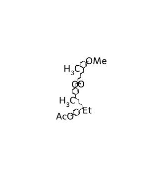 CCC(CCCC(C)c1ccc(OC(=O)/C=C/C=C/c2cc(OC)ccc2C)cc1)c1ccc(OC(C)=O)cc1